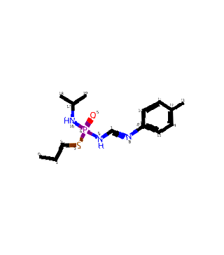 CCCSP(=O)(NC=Nc1ccc(C)cc1)NC(C)C